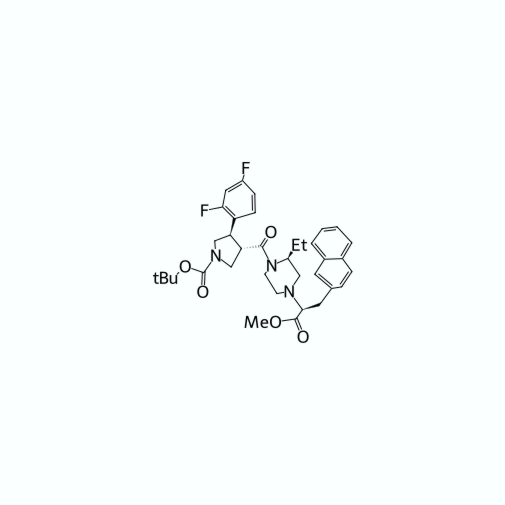 CC[C@H]1CN([C@@H](Cc2ccc3ccccc3c2)C(=O)OC)CCN1C(=O)[C@@H]1CN(C(=O)OC(C)(C)C)C[C@H]1c1ccc(F)cc1F